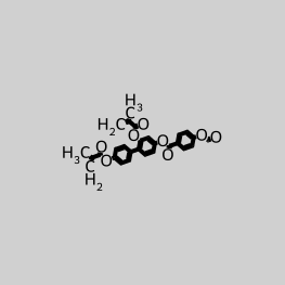 C=C(C)C(=O)Oc1ccc(-c2ccc(OC(=O)c3ccc(OC=O)cc3)cc2OC(=O)C(=C)C)cc1